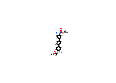 C=C(Nc1ccc(-c2ccc(-c3ccc(NC(=O)OC(C)(C)C)cc3)cc2)cc1)OC(C)(C)C